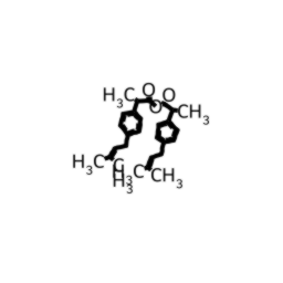 CC(C)=CCc1ccc(C(C)C(=O)OC(=O)C(C)c2ccc(CC=C(C)C)cc2)cc1